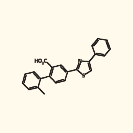 Cc1ccccc1-c1ccc(-c2nc(-c3ccccc3)cs2)cc1C(=O)O